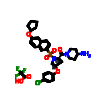 NC1CCN(C(=O)[C@@H]2C[C@@H](Oc3ccc(Cl)cc3)CN2S(=O)(=O)c2ccc3cc(OC4CCCC4)ccc3c2)CC1.O=C(O)C(F)(F)F